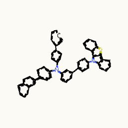 c1ccc(-c2ccc(N(c3ccc(-c4ccc5ccccc5c4)cc3)c3cccc(-c4ccc(-n5c6ccccc6c6sc7ccccc7c65)cc4)c3)cc2)cc1